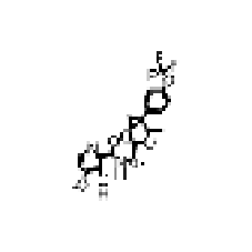 COc1ccnc(C(=O)N[C@@H](C)C(=O)OC(C)C2(c3ccc(OC(F)(F)F)cc3)CC2)c1O